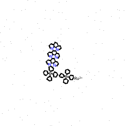 [Ru+2].c1ccc([B-](c2ccccc2)(c2ccccc2)c2ccccc2)cc1.c1ccc([B-](c2ccccc2)(c2ccccc2)c2ccccc2)cc1.c1cnc2c(c1)ccc1cccnc12.c1cnc2c(c1)ccc1cccnc12.c1cnc2c(c1)ccc1cccnc12